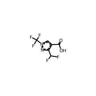 O=C(O)c1cn(C(F)(F)F)nc1C(F)F